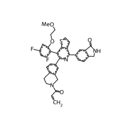 C=CC(=O)N1CCc2ccc(-c3nc(-c4ccc5c(c4)C(=O)NC5)c4ccsc4c3-c3c(F)cc(F)cc3OCCOC)cc2C1